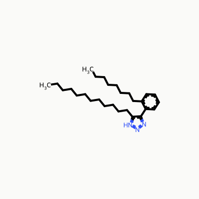 CCCCCCCCCCCCc1[nH]nnc1-c1ccccc1CCCCCCCC